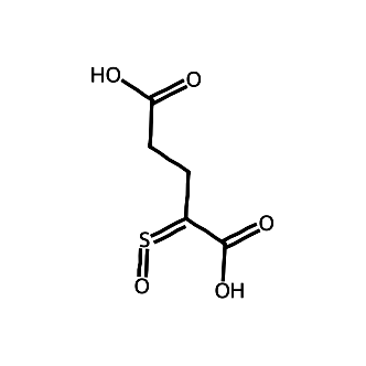 O=S=C(CCC(=O)O)C(=O)O